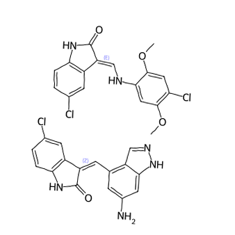 COc1cc(N/C=C2/C(=O)Nc3ccc(Cl)cc32)c(OC)cc1Cl.Nc1cc(/C=C2\C(=O)Nc3ccc(Cl)cc32)c2cn[nH]c2c1